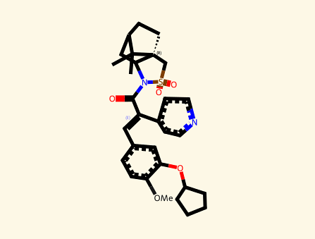 COc1ccc(/C=C(/C(=O)N2C3CC4CC[C@@]3(CS2(=O)=O)C4(C)C)c2ccncc2)cc1OC1CCCC1